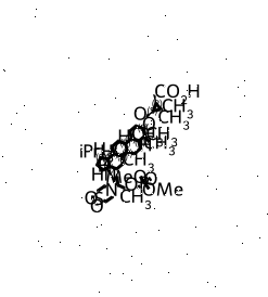 COP(=O)(COC(C)C(CN[C@]12CC[C@@H](C(C)C)[C@@H]1[C@H]1CC[C@@H]3[C@@]4(C)CC[C@H](OC(=O)[C@H]5[C@@H](CC(=O)O)C5(C)C)C(C)(C)[C@@H]4CC[C@@]3(C)[C@]1(C)CC2)N1CCS(=O)(=O)CC1)OC